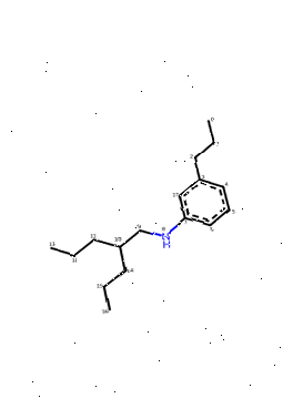 C[CH]Cc1cccc(NCC(CCC)CCC)c1